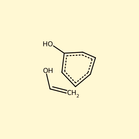 C=CO.Oc1ccccc1